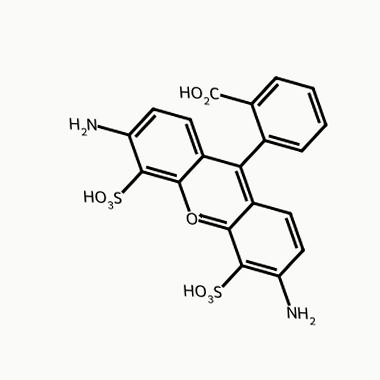 Nc1ccc2c(-c3ccccc3C(=O)O)c3ccc(N)c(S(=O)(=O)O)c3[o+]c2c1S(=O)(=O)O